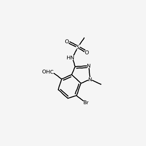 Cn1nc(NS(C)(=O)=O)c2c(C=O)ccc(Br)c21